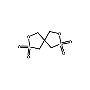 O=S1(=O)CC2(CO1)COS(=O)(=O)C2